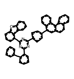 c1ccc(-c2ccccc2-c2nc(-c3ccc(-c4cc5ccc6ccccc6c5c5ccccc45)cc3)nc(-c3cccc4oc5ccccc5c34)n2)cc1